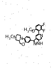 COc1ccc(F)c(F)c1-c1cc2c(-c3ccc4c(c3)OCC3CN(C)CCN43)n[nH]c2cn1